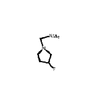 CNCN1CCC(F)C1